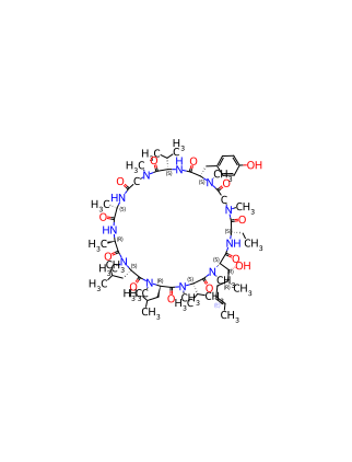 C/C=C/C[C@@H](C)[C@@H](O)[C@H]1C(=O)N[C@@H](CC)C(=O)N(C)CC(=O)N(C)[C@@H](Cc2ccc(O)cc2)C(=O)N[C@@H](C(C)C)C(=O)N(C)CC(=O)N[C@@H](C)C(=O)N[C@H](C)C(=O)N(C)[C@@H](CC(C)C)C(=O)N(C)[C@H](CC(C)C)C(=O)N(C)[C@@H](C(C)C)C(=O)N1C